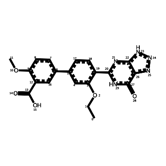 CCOc1cc(-c2ccc(OC)c(C(=O)O)c2)ccc1-c1nc2[nH]nnc2c(=O)[nH]1